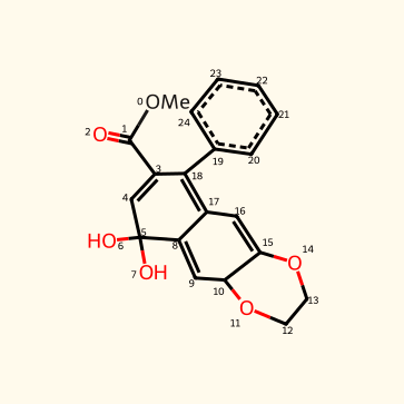 COC(=O)C1=CC(O)(O)C2=CC3OCCOC3=CC2=C1c1ccccc1